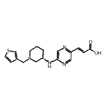 O=C(O)/C=C/c1cnc(N[C@@H]2CCCN(Cc3ccsc3)C2)cn1